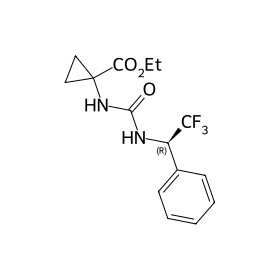 CCOC(=O)C1(NC(=O)N[C@H](c2ccccc2)C(F)(F)F)CC1